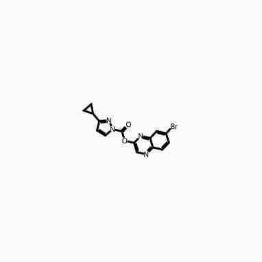 O=C(Oc1cnc2ccc(Br)cc2n1)n1ccc(C2CC2)n1